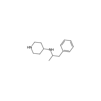 CC(Cc1ccccc1)NC1CCNCC1